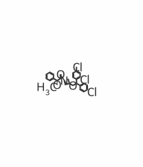 CO[C@H](C(=O)N1CC(OC(c2ccc(Cl)cc2)c2ccc(Cl)cc2Cl)C1)c1ccccc1